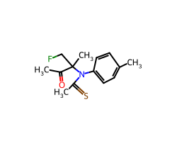 CC(=O)C(C)(CF)N(C(C)=S)c1ccc(C)cc1